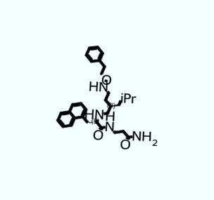 CC(C)C[C@H](CCNOCCc1ccccc1)CN[C@@H](Cc1cccc2ccccc12)C(=O)NCCC(N)=O